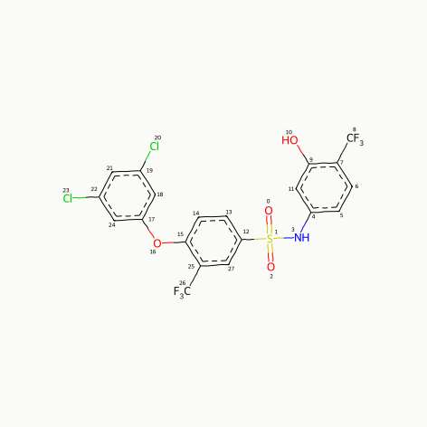 O=S(=O)(Nc1ccc(C(F)(F)F)c(O)c1)c1ccc(Oc2cc(Cl)cc(Cl)c2)c(C(F)(F)F)c1